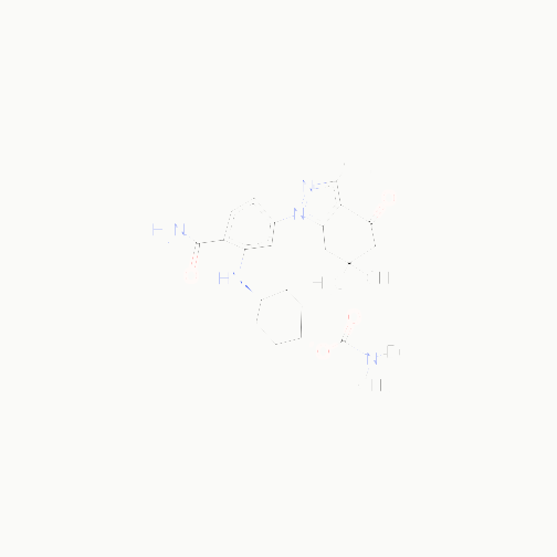 [CH2]CN(C)C(=O)O[C@H]1CC[C@H](Nc2cc(-n3nc(C(F)(F)F)c4c3CC(C)(C)CC4=O)ccc2C(N)=O)CC1